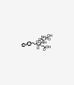 NC(=O)[C@H](CCC(=O)O)NC(=O)[C@H](CCC(=O)O)NC(=O)CCc1ccc(-n2cccc2)cc1